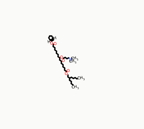 CCCCCC(CCCCC)CCOC(=O)CCCCCCCC(CCCCCCCC(=O)OC1C[C@@H]2CCC[C@H]1C2)OC(=O)CCCN(C)C